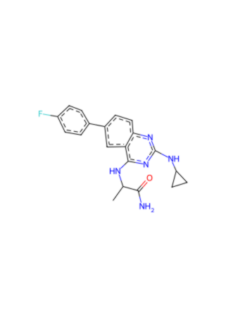 CC(Nc1nc(NC2CC2)nc2ccc(-c3ccc(F)cc3)cc12)C(N)=O